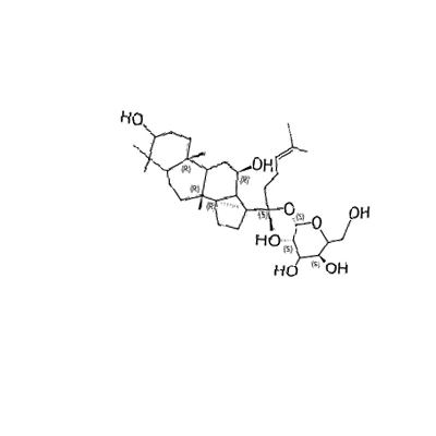 CC(C)=CCC[C@](C)(O[C@@H]1OC(CO)[C@@H](O)C(O)[C@@H]1O)C1CC[C@]2(C)C1[C@H](O)CC1[C@@]3(C)CCC(O)C(C)(C)C3CC[C@]12C